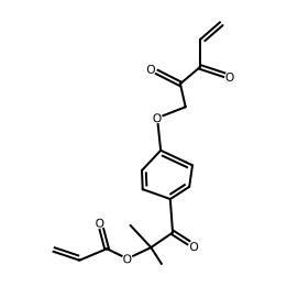 C=CC(=O)OC(C)(C)C(=O)c1ccc(OCC(=O)C(=O)C=C)cc1